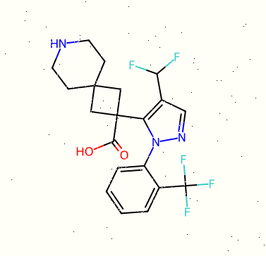 O=C(O)C1(c2c(C(F)F)cnn2-c2ccccc2C(F)(F)F)CC2(CCNCC2)C1